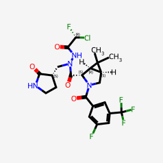 CC1(C)[C@@H]2[C@@H](C(=O)N(C[C@@H]3CCNC3=O)NC(=O)[C@H](F)Cl)N(C(=O)c3cc(F)cc(C(F)(F)F)c3)C[C@@H]21